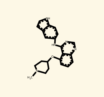 CN1CCC(Oc2cccc3ncnc(Nc4ccc5[nH]ccc5c4)c23)CC1